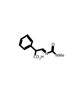 CNC(=O)/N=C/C(C(=O)O)c1ccccc1